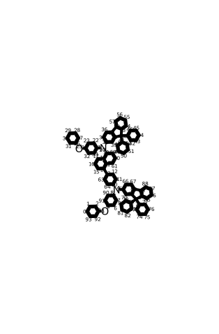 c1ccc(Oc2ccc(N(c3ccc(-c4cccc5c(N(c6ccc(Oc7ccccc7)cc6)c6ccc7c(c6)C(c6ccccc6)(c6ccccc6)c6ccccc6-7)cccc45)cc3)c3ccc4c(c3)C(c3ccccc3)(c3ccccc3)c3ccccc3-4)cc2)cc1